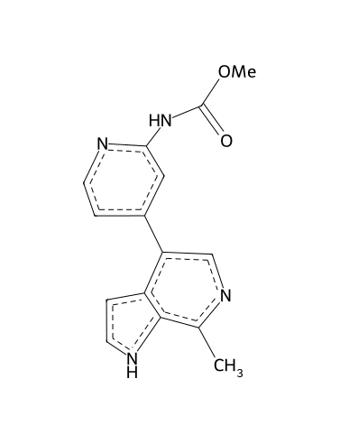 COC(=O)Nc1cc(-c2cnc(C)c3[nH]ccc23)ccn1